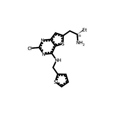 CC[C@H](N)Cc1cc2nc(Cl)nc(NCc3cccs3)c2s1